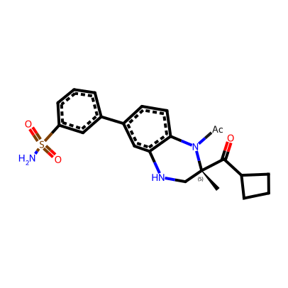 CC(=O)N1c2ccc(-c3cccc(S(N)(=O)=O)c3)cc2NC[C@@]1(C)C(=O)C1CCC1